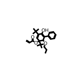 C=CC(=O)OC1(C(C)(C)C)C=C(C(C)(C)C)C(O)=C(c2ccccc2)C1OCCC